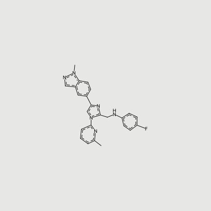 Cc1cccc(-n2cc(-c3ccc4c(cnn4C)c3)nc2CNc2ccc(F)cc2)n1